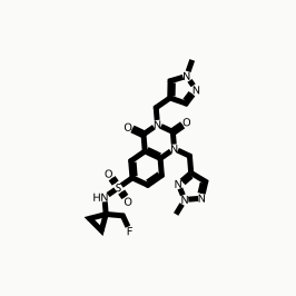 Cn1cc(Cn2c(=O)c3cc(S(=O)(=O)NC4(CF)CC4)ccc3n(Cc3cnn(C)n3)c2=O)cn1